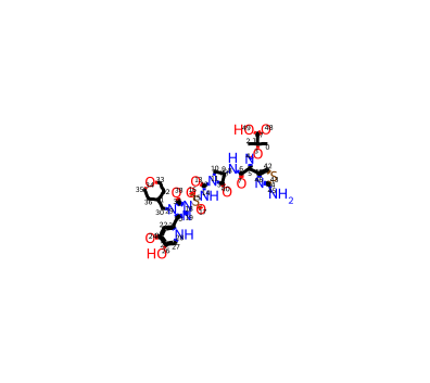 CC(C)(ON=C(C(=O)N[C@H]1CN(C(=O)NS(=O)(=O)n2nc(-c3cc(=O)c(O)c[nH]3)n(CC3CCOCC3)c2=O)C1=O)c1csc(N)n1)C(=O)O